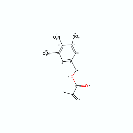 C=C(C)C(=O)OCc1cc([N+](=O)[O-])c([N+](=O)[O-])c([N+](=O)[O-])c1